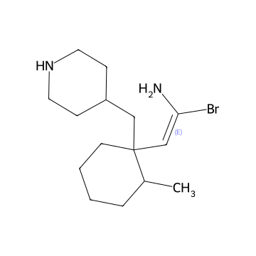 CC1CCCCC1(/C=C(\N)Br)CC1CCNCC1